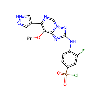 CC(C)Oc1c(-c2cn[nH]c2)ncn2nc(Nc3ccc(S(=O)(=O)Cl)cc3F)nc12